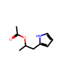 CC(=O)OC(C)Cc1ccc[nH]1